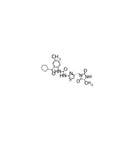 Cc1ccc(NC(=O)Nc2nc(CN3C(=O)N[C@@H](C)C3=O)cs2)c(C(=O)C2CCCC2)c1